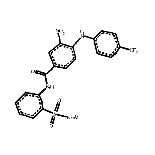 CC(=O)NS(=O)(=O)c1ccccc1NC(=O)c1ccc(Nc2ccc(C(F)(F)F)cc2)c([N+](=O)[O-])c1